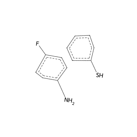 Nc1ccc(F)cc1.Sc1ccccc1